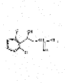 N=C(N)NCC(O)c1c(Cl)cccc1Cl